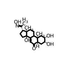 C/C(=N\O)[C@H]1CC[C@@]2(O)C3=CC(=O)[C@@H]4C[C@@H](O)[C@@H](O)C[C@]4(C)C3CC[C@]12C